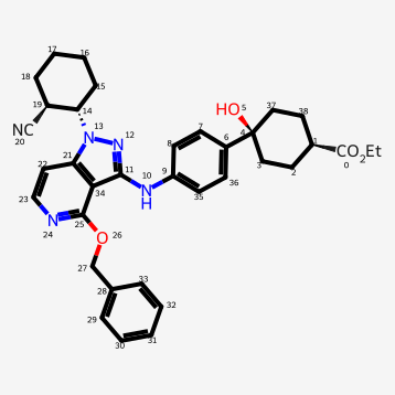 CCOC(=O)[C@H]1CC[C@](O)(c2ccc(Nc3nn([C@H]4CCCC[C@@H]4C#N)c4ccnc(OCc5ccccc5)c34)cc2)CC1